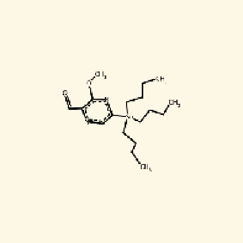 CCC[CH2][Sn]([CH2]CCC)([CH2]CCC)[c]1cnc(C=O)c(OC)n1